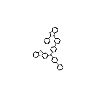 c1ccc(-c2ccc(N(c3ccc(-c4cccc(-n5c(-c6ccccc6)nc6ccccc65)c4)cc3)c3ccc4c(c3)sc3ccccc34)cc2)cc1